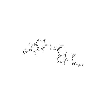 CC[C@@H](C)NC(=O)c1cccc(C(=O)NCc2ccc3nc(N)sc3c2)n1